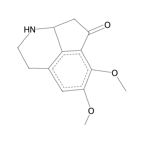 COc1cc2c3c(c1OC)C(=O)CC3NCC2